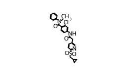 CCN(C(=O)c1ccc(NC(=O)Cc2ccc(S(=O)(=O)CC3CC3)nc2)cc1Cl)c1ccccc1